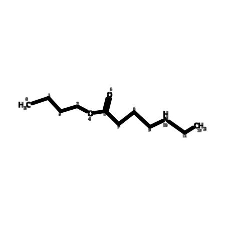 CCCCOC(=O)CCCNCC